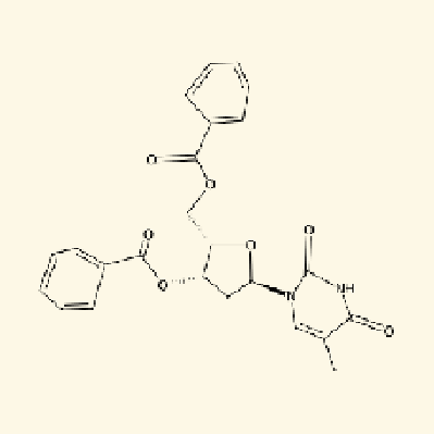 Cc1cn([C@H]2C[C@H](OC(=O)c3ccccc3)[C@H](COC(=O)c3ccccc3)O2)c(=O)[nH]c1=O